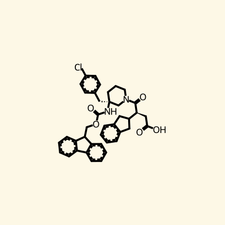 O=C(O)C[C@H](C(=O)N1CCC[C@](Cc2ccc(Cl)cc2)(NC(=O)OCC2c3ccccc3-c3ccccc32)C1)C1Cc2ccccc2C1